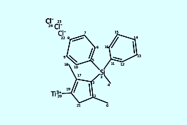 CC1=C([Si](C)(c2ccccc2)c2ccccc2)C(C)=[C]([Ti+3])C1.[Cl-].[Cl-].[Cl-]